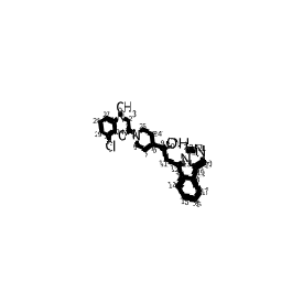 CN(CC(=O)N1CCC(C(O)CC2c3ccccc3-c3cncn32)CC1)c1cccc(Cl)c1